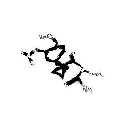 CCCCCCCN(C(=O)NC)C(=O)C1(c2ccc(OC)c(N=S(=O)=O)c2)CC1